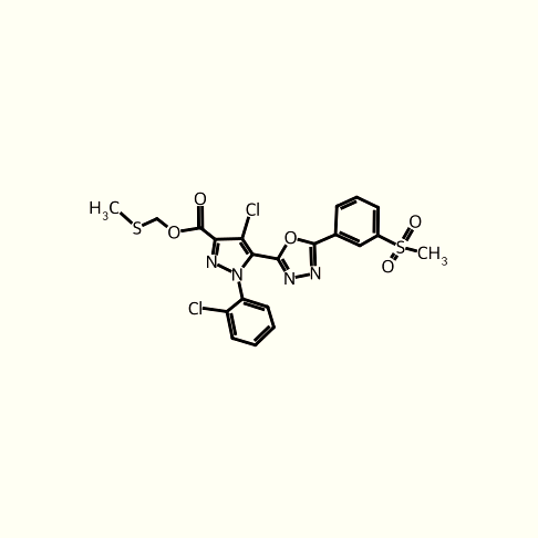 CSCOC(=O)c1nn(-c2ccccc2Cl)c(-c2nnc(-c3cccc(S(C)(=O)=O)c3)o2)c1Cl